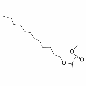 C=C(OCCCCCCCCCCCC)C(=O)OC